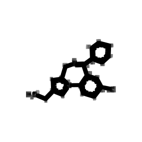 CCc1cc2n(c1)-c1ccc(Cl)cc1C(c1ccccc1)=NC2